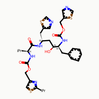 CC(C)c1nc(COC(=O)N[C@H](C(=O)N[C@H](Cc2cncs2)C[C@H](O)[C@H](Cc2ccccc2)NC(=O)OCc2cncs2)C(C)C)cs1